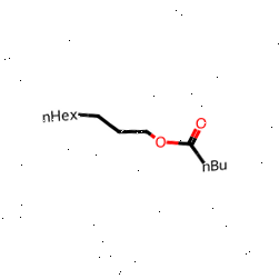 CCCCCCCCCOC(=O)CCCC